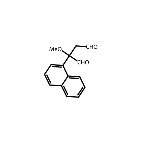 COC(C=O)(CC=O)c1cccc2ccccc12